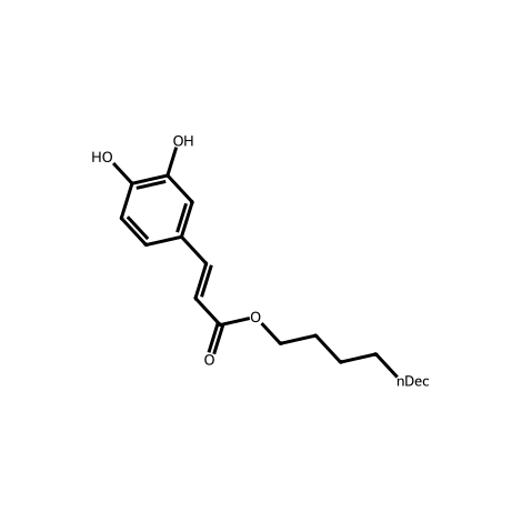 CCCCCCCCCCCCCCOC(=O)C=Cc1ccc(O)c(O)c1